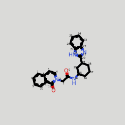 O=C(Cn1ccc2ccccc2c1=O)NC1CCCC(c2nc3ccccc3[nH]2)C1